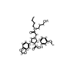 CCCCN(CCCO)C(=O)CN1C[C@H](c2ccc3c(c2)OCO3)[C@H](C(=O)O)[C@H]1c1ccc(OC)cc1